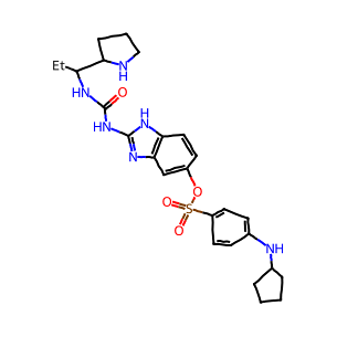 CCC(NC(=O)Nc1nc2cc(OS(=O)(=O)c3ccc(NC4CCCC4)cc3)ccc2[nH]1)C1CCCN1